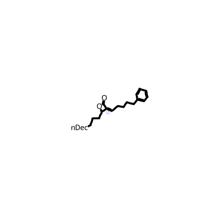 CCCCCCCCCCCCCC1OC(=O)/C1=C\CCCCc1ccccc1